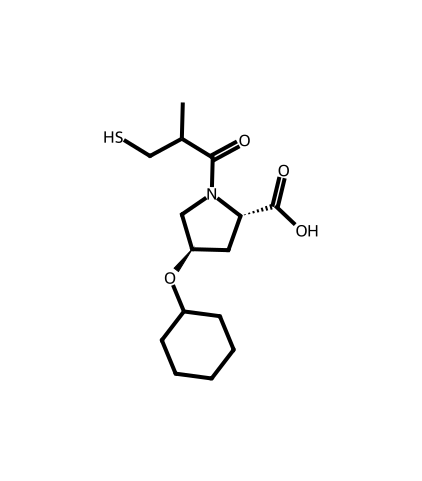 CC(CS)C(=O)N1C[C@H](OC2CCCCC2)C[C@H]1C(=O)O